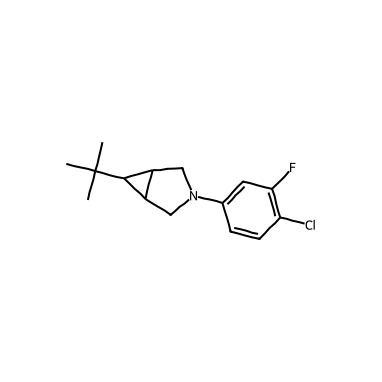 CC(C)(C)C1C2CN(c3ccc(Cl)c(F)c3)CC21